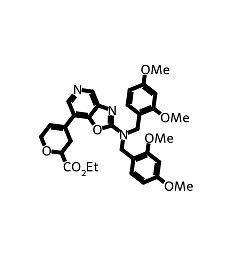 CCOC(=O)C1CC(c2cncc3nc(N(Cc4ccc(OC)cc4OC)Cc4ccc(OC)cc4OC)oc23)=CCO1